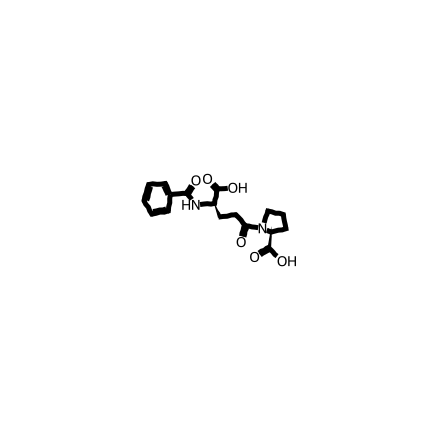 O=C(N[C@H](CCC(=O)N1CCC[C@H]1C(=O)O)C(=O)O)c1ccccc1